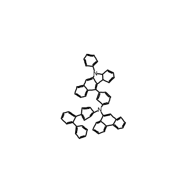 C1=CC2c3c(cc4ccccc4c3-c3cccc(N(c4ccc(-c5ccccc5-c5ccccc5)cc4)c4cc5ccccc5c5ccccc45)c3)N(c3ccccc3)C2C=C1